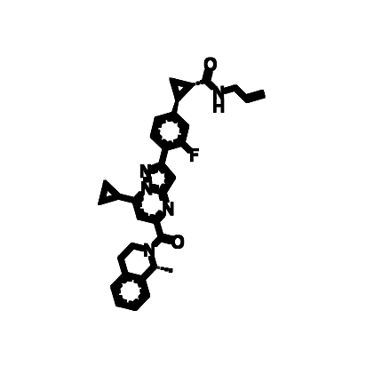 C=CCNC(=O)[C@H]1C[C@@H]1c1ccc(-c2cc3nc(C(=O)N4CCc5ccccc5[C@H]4C)cc(C4CC4)n3n2)c(F)c1